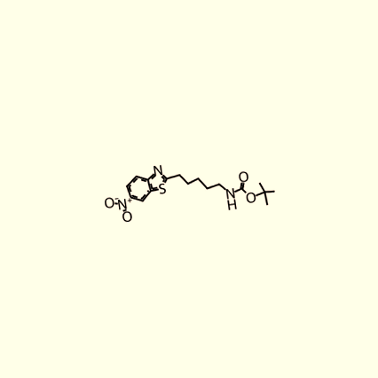 CC(C)(C)OC(=O)NCCCCCc1nc2ccc([N+](=O)[O-])cc2s1